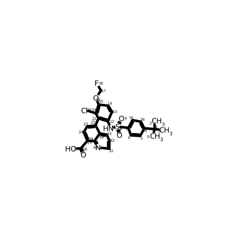 CC(C)(C)c1ccc(S(=O)(=O)Nc2ccc(OCF)c(Cl)c2-c2ccc(C(=O)O)c3ncccc23)cc1